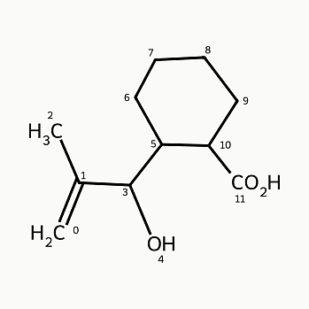 C=C(C)C(O)C1CCCCC1C(=O)O